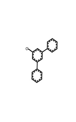 Clc1cc(-c2ccccc2)cc(-c2ccccc2)c1